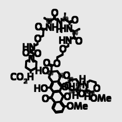 COc1cccc2c1C(=O)c1c(O)c3c(c(O)c1C2=O)C[C@@](O)(C(=O)OCCOCNC(=O)[C@H](C)NC(=O)[C@H](C)NC(=O)[C@H](C)NC(=O)COCNS(=O)(=O)N1CCC(C(=O)O)CC1)C[C@@H]3O[C@H]1C[C@H]2[C@H](O[C@@H]3[C@@H](OC)OCCN32)[C@H](C)O1